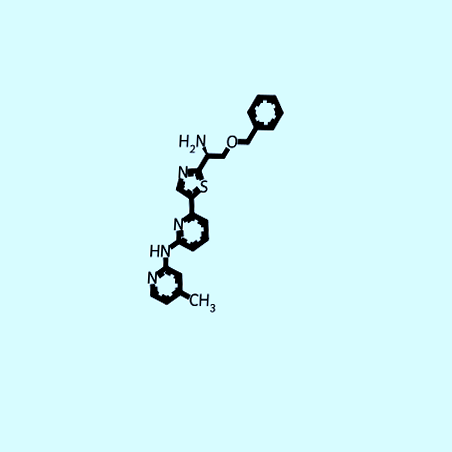 Cc1ccnc(Nc2cccc(-c3cnc([C@@H](N)COCc4ccccc4)s3)n2)c1